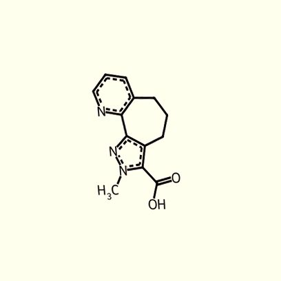 Cn1nc2c(c1C(=O)O)CCCc1cccnc1-2